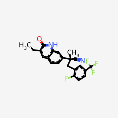 CCc1cc2ccc(C(C)(C#N)Cc3cc(C(F)(F)F)ccc3F)cc2[nH]c1=O